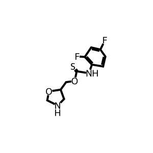 Fc1ccc(NC(=S)OCC2CNCO2)c(F)c1